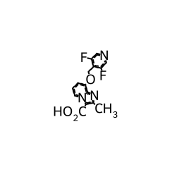 Cc1nc2c(OCc3c(F)cncc3F)cccn2c1C(=O)O